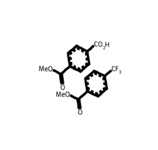 COC(=O)c1ccc(C(=O)O)cc1.COC(=O)c1ccc(C(F)(F)F)cc1